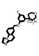 O=C(O)C1(c2cc(F)cc(OCc3ccc4c(ccc5nccn54)c3)c2)CCOCC1